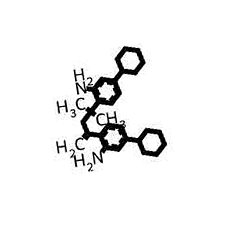 C=C(CC(C)(C)c1ccc(C2CCCCC2)cc1N)c1ccc(C2CCCCC2)cc1N